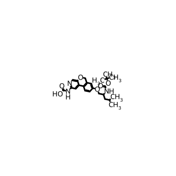 CC(C)CC(COc1ccc2c(c1)COc1cnc(NC(=O)O)cc1-2)NC(=O)OC(C)(C)C